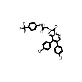 O=C(Cn1nc2c(-c3ccc(Cl)cc3)c(-c3ccc(Cl)cc3)cnn2c1=O)Nc1ccc(C(F)(F)F)cc1